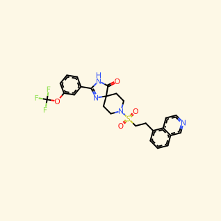 O=C1NC(c2cccc(OC(F)(F)F)c2)=NC12CCN(S(=O)(=O)CCc1cccc3cnccc13)CC2